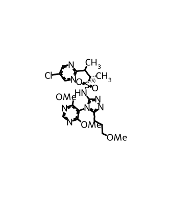 COCCCc1nnc(NS(=O)(=O)[C@@H](C)C(C)c2ncc(Cl)cn2)n1-c1c(OC)ncnc1OC